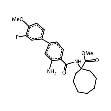 COC(=O)C1(NC(=O)c2ccc(-c3ccc(OC)c(F)c3)cc2N)CCCCCCC1